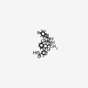 CC1=C(C(=O)Nc2cc(C(=O)O)ccn2)[C@@H](c2ccccc2Cl)N=C(Nc2nc3ccc(F)cc3o2)N1